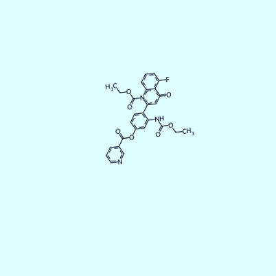 CCOC(=O)Nc1cc(OC(=O)c2cccnc2)ccc1-c1cc(=O)c2c(F)cccc2n1C(=O)OCC